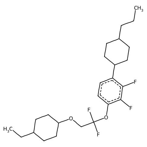 CCCC1CCC(c2ccc(OC(F)(F)COC3CCC(CC)CC3)c(F)c2F)CC1